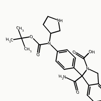 CC(C)(C)OC(=O)N(c1ccc(C2(C(N)=O)c3ccccc3CN2C(=O)O)cc1)C1CCNC1